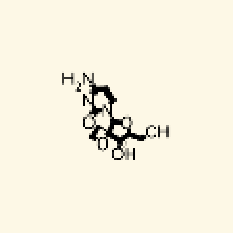 Nc1ccn(C2OC(CO)[C@@H](O)[C@@]23CCO3)c(=O)n1